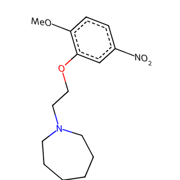 COc1ccc([N+](=O)[O-])cc1OCCN1CCCCCC1